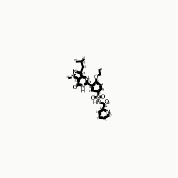 CCOc1ccc(S(=O)(=O)NC(=O)c2ccccn2)cc1-c1nc2c(CC(C)C)nn(C)c2c(=O)[nH]1